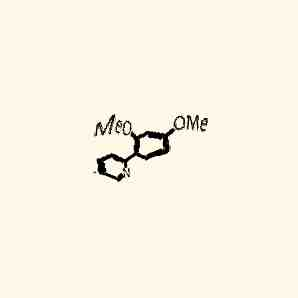 COc1ccc(-c2cc[c]cn2)c(OC)c1